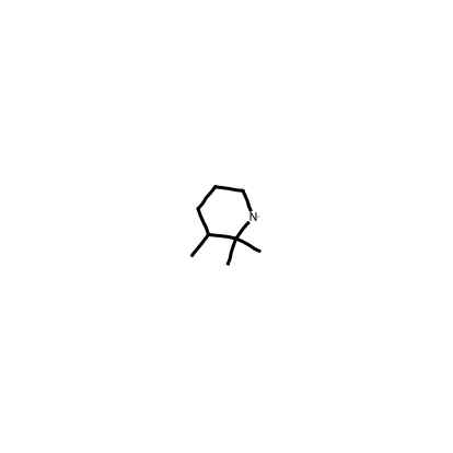 CC1CCC[N]C1(C)C